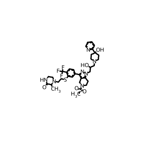 CC1C(=O)NCCN1CCSc1cc(-c2nn(CC(O)CN3CCC(O)(c4ccccn4)CC3)c3c2CN(S(C)(=O)=O)CC3)ccc1C(F)(F)F